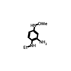 CCNc1ccc(NOC)cc1N